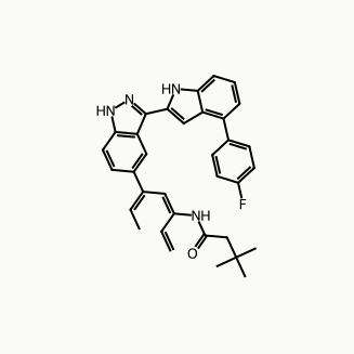 C=C/C(=C\C(=C/C)c1ccc2[nH]nc(-c3cc4c(-c5ccc(F)cc5)cccc4[nH]3)c2c1)NC(=O)CC(C)(C)C